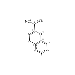 N#CC(C#N)C1=C[C]c2ccccc2O1